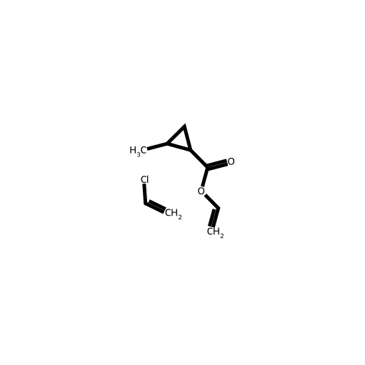 C=CCl.C=COC(=O)C1CC1C